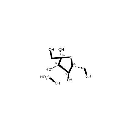 O=S(=O)(O)O.OC[C@H]1O[C@](O)(CO)[C@@H](O)[C@@H]1O